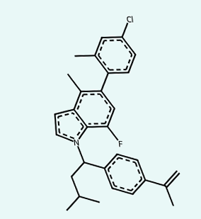 C=C(C)c1ccc(C(CC(C)C)n2ccc3c(C)c(-c4ccc(Cl)cc4C)cc(F)c32)cc1